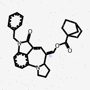 O=C1C2=C/C(=C\OC(=O)C34CCC(CC3)C4)C3CCCN3c3cccc(c32)N1Cc1ccccc1